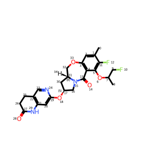 Cc1cc2c(c(OC(C)CF)c1F)C(=O)N1C[C@@H](Oc3cc4c(cn3)CCC(=O)N4)C[C@@H]1CO2